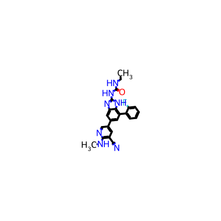 CCNC(=O)Nc1nc2cc(-c3cnc(NC)c(C#N)c3)cc(-c3ccccc3F)c2[nH]1